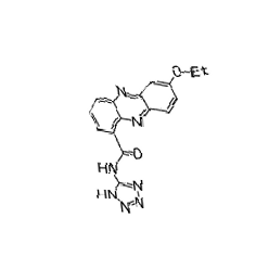 CCOc1ccc2nc3c(C(=O)Nc4nnn[nH]4)cccc3nc2c1